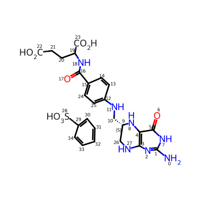 Nc1nc2c(c(=O)[nH]1)N[C@@H](CNc1ccc(C(=O)NC(CCC(=O)O)C(=O)O)cc1)CN2.O=S(=O)(O)c1ccccc1